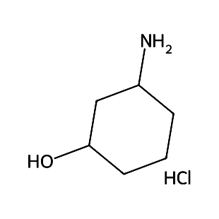 Cl.NC1CCCC(O)C1